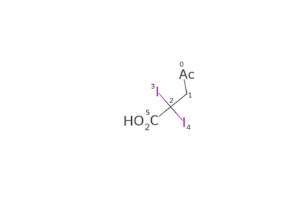 CC(=O)CC(I)(I)C(=O)O